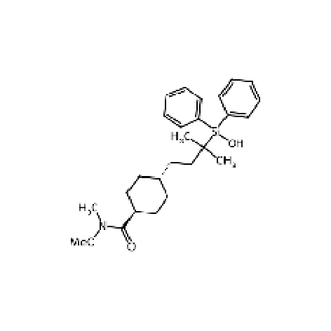 CON(C)C(=O)[C@H]1CC[C@H](CCC(C)(C)[Si](O)(c2ccccc2)c2ccccc2)CC1